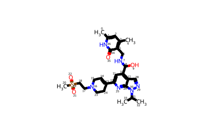 Cc1cc(C)c(CNC(O)c2cc(C3=CCN(CCS(C)(=O)=O)CC3)nc3c2cnn3C(C)C)c(=O)[nH]1